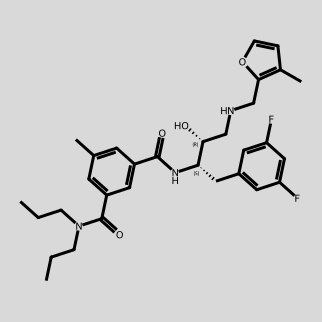 CCCN(CCC)C(=O)c1cc(C)cc(C(=O)N[C@@H](Cc2cc(F)cc(F)c2)[C@H](O)CNCc2occc2C)c1